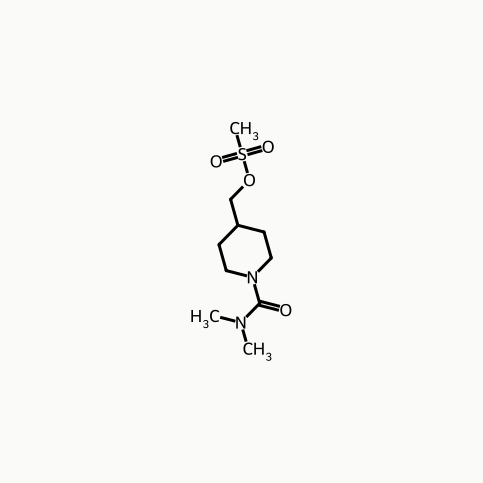 CN(C)C(=O)N1CCC(COS(C)(=O)=O)CC1